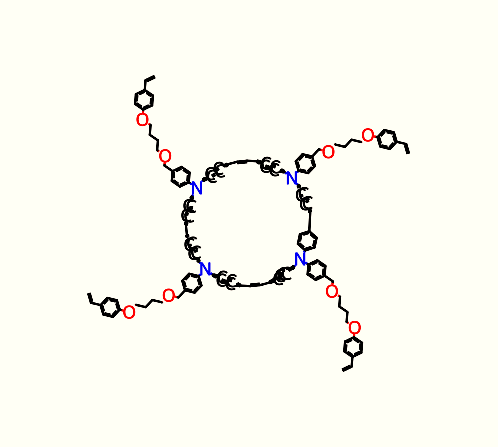 C=Cc1ccc(OCCCCOCc2ccc(N3c4ccc(cc4)/C=C\c4ccc(cc4)N(c4ccc(COCCCCOc5ccc(C=C)cc5)cc4)c4ccc(cc4)-c4ccc(cc4)N(c4ccc(COCCCCOc5ccc(C=C)cc5)cc4)c4ccc(cc4)/C=C\c4ccc(cc4)N(c4ccc(COCCCCOc5ccc(C=C)cc5)cc4)c4ccc(cc4)-c4ccc3cc4)cc2)cc1